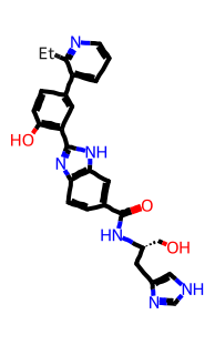 CCc1ncccc1-c1ccc(O)c(-c2nc3ccc(C(=O)N[C@H](CO)Cc4c[nH]cn4)cc3[nH]2)c1